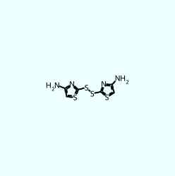 Nc1csc(SSc2nc(N)cs2)n1